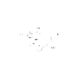 COC(=O)c1nn(C)cc1NC(=O)c1cccc(/C(C=N)=C/NC(=O)OC(C)(C)C)c1